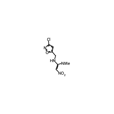 CN/C(=C\[N+](=O)[O-])NCc1cc(Cl)no1